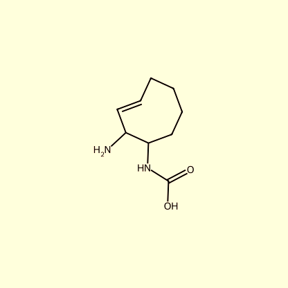 NC1/C=C/CCCCC1NC(=O)O